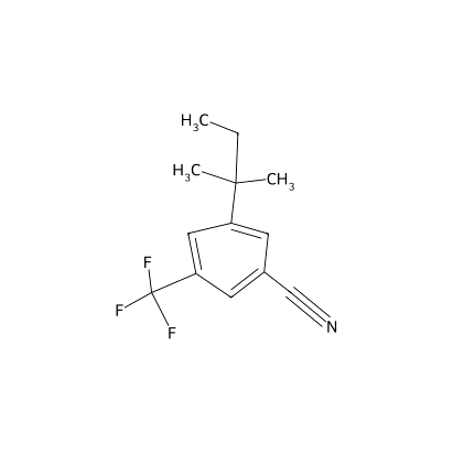 CCC(C)(C)c1cc(C#N)cc(C(F)(F)F)c1